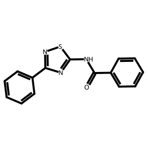 O=C(Nc1nc(-c2ccccc2)ns1)c1ccccc1